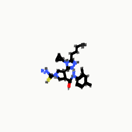 Cc1ccc(NC(=O)[C@H]2CN(C(N)=S)C[C@@H]2c2nnc(CCCC(C)(C)C)n2C2CC2)c(C)c1